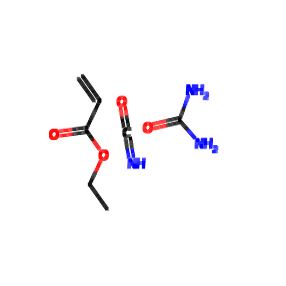 C=CC(=O)OCC.N=C=O.NC(N)=O